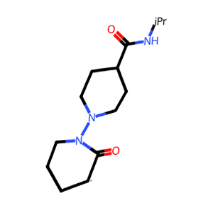 CC(C)NC(=O)C1CCN(N2CCC[CH]C2=O)CC1